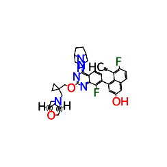 C#Cc1c(F)ccc2cc(O)cc(-c3ccc4c(N5CC6CCC(C5)N6)nc(OCC5(CN6C[C@H]7C[C@@H]6CO7)CC5)nc4c3F)c12